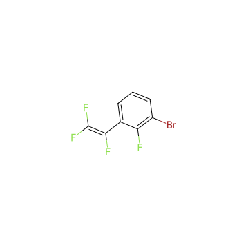 FC(F)=C(F)c1cccc(Br)c1F